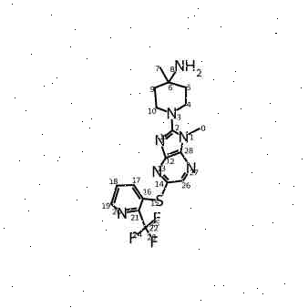 Cn1c(N2CCC(C)(N)CC2)nc2nc(Sc3cccnc3C(F)(F)F)cnc21